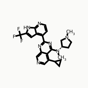 CN1CC[C@H](N(C)c2nc(-c3ccnc4[nH]c(C(F)(F)F)cc34)nc3cncc(C4CC4)c23)C1